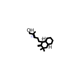 C=C1C(C)(C)C[C@@H]2CCCC[C@@H]2[C@]1(C)CC/C=C(\C)CO